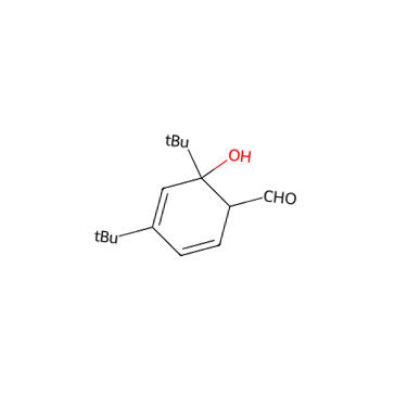 CC(C)(C)C1=CC(O)(C(C)(C)C)C(C=O)C=C1